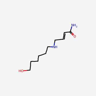 NC(=O)C=CCNCCCCCCO